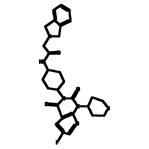 O=C(CN1Cc2ccccc2C1)NC1CCC(n2c(=O)c3cc(F)cnc3n(C3CCSCC3)c2=O)CC1